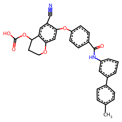 Cc1ccc(-c2cccc(NC(=O)c3ccc(Oc4cc5c(cc4C#N)C(OC(=O)O)CCO5)cc3)c2)cc1